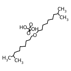 CC(C)CCCCCCCOCCCCCCCC(C)C.O=S(=O)(O)O